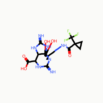 N=C1NC2C(C(=O)O)NC(=N)N3CC(NC(=O)C4(C(F)(F)F)CC4)C(O)(O)C23N1